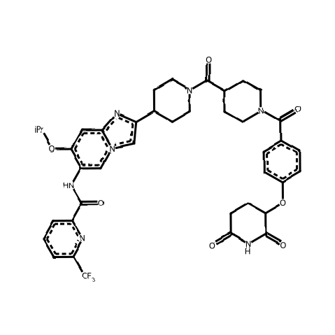 CC(C)Oc1cc2nc(C3CCN(C(=O)C4CCN(C(=O)c5ccc(OC6CCC(=O)NC6=O)cc5)CC4)CC3)cn2cc1NC(=O)c1cccc(C(F)(F)F)n1